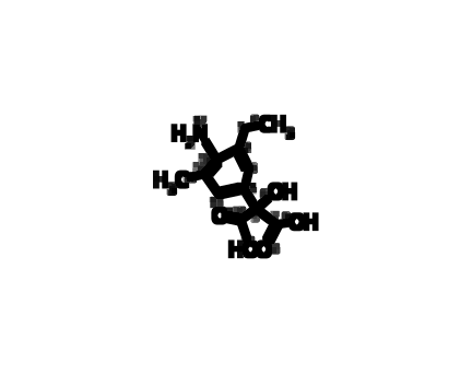 CCc1cc(C(O)(C(=O)O)C(=O)O)cc(C)c1N